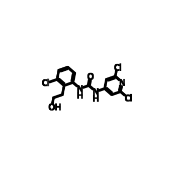 O=C(Nc1cc(Cl)nc(Cl)c1)Nc1cccc(Cl)c1CCO